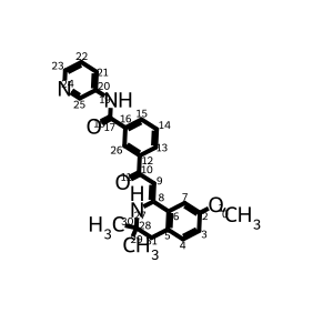 COc1ccc2c(c1)C(=CC(=O)c1cccc(C(=O)Nc3cccnc3)c1)NC(C)(C)C2